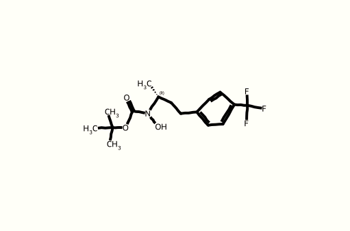 C[C@H](CCc1ccc(C(F)(F)F)cc1)N(O)C(=O)OC(C)(C)C